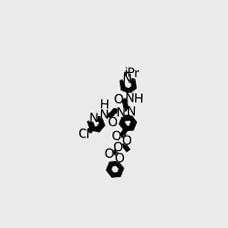 CC(OC(=O)OC1CCCCC1)OC(=O)c1ccc2nc(C(=O)NC3CCN(C(C)C)CC3)n(CC(=O)Nc3ccc(Cl)cn3)c2c1